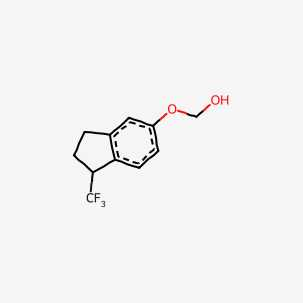 OCOc1ccc2c(c1)CCC2C(F)(F)F